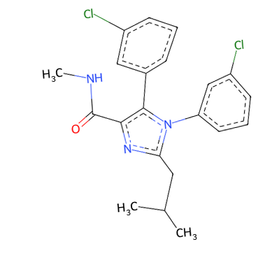 CNC(=O)c1nc(CC(C)C)n(-c2cccc(Cl)c2)c1-c1cccc(Cl)c1